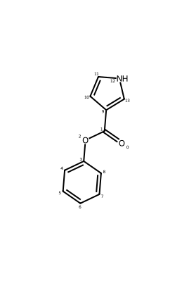 O=C(Oc1ccccc1)c1cc[nH]c1